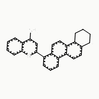 Nc1cc(-c2cccc3c2ccc2c4c(ccc23)CCCC4)nc2ccccc12